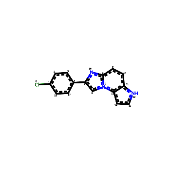 Clc1ccc(-c2cn3c(ccc4[nH]ccc43)n2)cc1